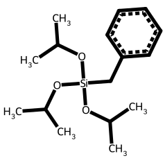 CC(C)O[Si](Cc1ccccc1)(OC(C)C)OC(C)C